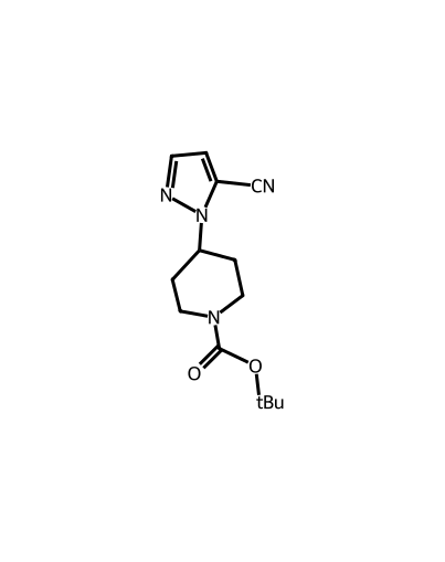 CC(C)(C)OC(=O)N1CCC(n2nccc2C#N)CC1